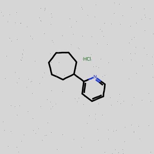 Cl.c1ccc(C2CCCCCC2)nc1